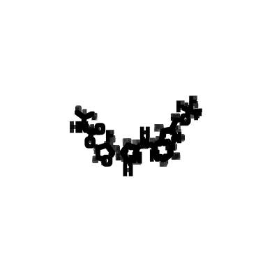 CC(C)NC(=O)O[C@H]1CO[C@@H](c2cc(Nc3nccn4nc(COC(F)(F)F)cc34)n[nH]2)[C@H]1F